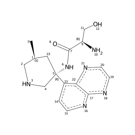 C[C@@H]1CNC[C@](NC(=O)[C@H](N)CO)(c2ccnc3nccnc23)C1